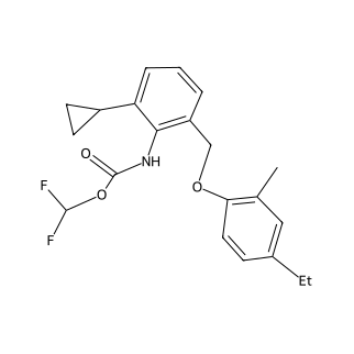 CCc1ccc(OCc2cccc(C3CC3)c2NC(=O)OC(F)F)c(C)c1